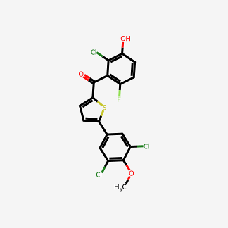 COc1c(Cl)cc(-c2ccc(C(=O)c3c(F)ccc(O)c3Cl)s2)cc1Cl